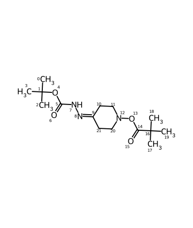 CC(C)(C)OC(=O)NN=C1CCN(OC(=O)C(C)(C)C)CC1